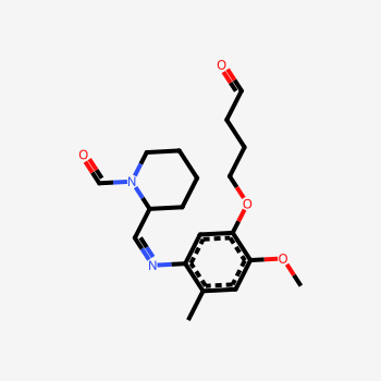 COc1cc(C)c(/N=C\C2CCCCN2C=O)cc1OCCCC=O